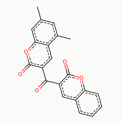 Cc1cc(C)c2cc(C(=O)c3cc4ccccc4oc3=O)c(=O)oc2c1